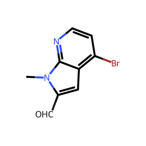 Cn1c(C=O)cc2c(Br)ccnc21